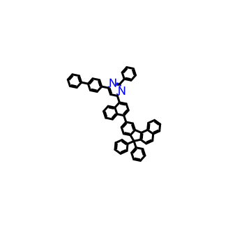 c1ccc(-c2ccc(-c3cc(-c4ccc(-c5ccc6c(c5)-c5c(ccc7ccccc57)C6(c5ccccc5)c5ccccc5)c5ccccc45)nc(-c4ccccc4)n3)cc2)cc1